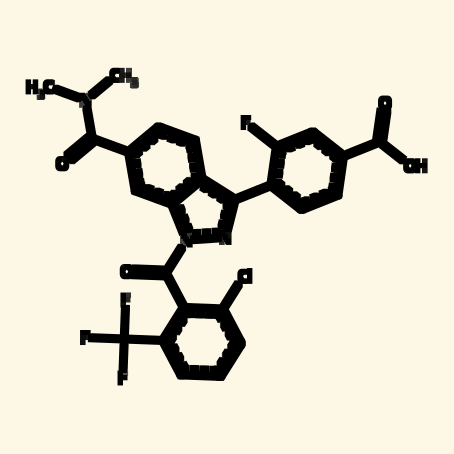 CN(C)C(=O)c1ccc2c(-c3ccc(C(=O)O)cc3F)nn(C(=O)c3c(Cl)cccc3C(F)(F)F)c2c1